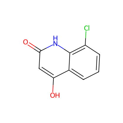 O=c1cc(O)c2cccc(Cl)c2[nH]1